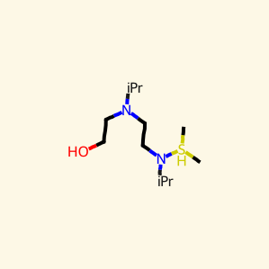 CC(C)N(CCO)CCN(C(C)C)[SH](C)C